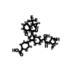 O=C(O)C1CC=C(c2nn(C(=O)c3c(Cl)cccc3C3(C(F)(F)F)CC3)c3c2CCC(C(O)N[C@H]2CNC[C@@H]2F)C3)CC1